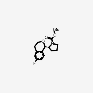 CC(C)(C)OC(=O)N1CCC[C@H]1C1OCCc2cc(F)ccc21